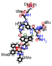 CCOP(=O)(CCCC(=O)N[C@@H](CCN(C)Cc1cc(NC(=O)[C@H](CCCNC(N)=O)NC(=O)[C@@H](NC(=O)OC(C)(C)C)C(C)C)ccc1C[N+]1(C)CCN(CCOc2ccc(-c3c(-c4ccc(F)cc4)sc4ncnc(O[C@H](Cc5ccccc5OCc5ccnc(-c6ccccc6OC)n5)C(=O)OCc5ccc(OC)cc5)c34)c(C)c2Cl)CC1)C(=O)OC(C)(C)C)OCC